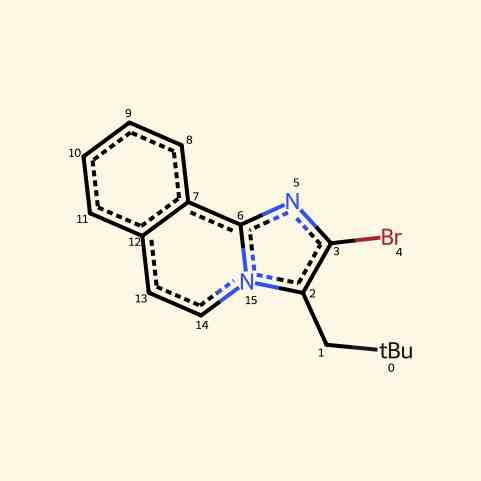 CC(C)(C)Cc1c(Br)nc2c3ccccc3ccn12